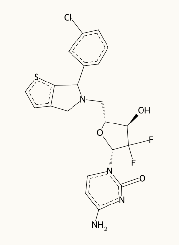 Nc1ccn([C@@H]2O[C@H](CN3Cc4ccsc4C3c3cccc(Cl)c3)[C@@H](O)C2(F)F)c(=O)n1